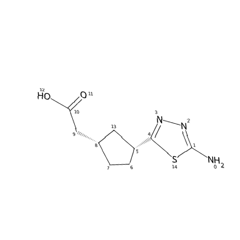 Nc1nnc([C@@H]2CC[C@H](CC(=O)O)C2)s1